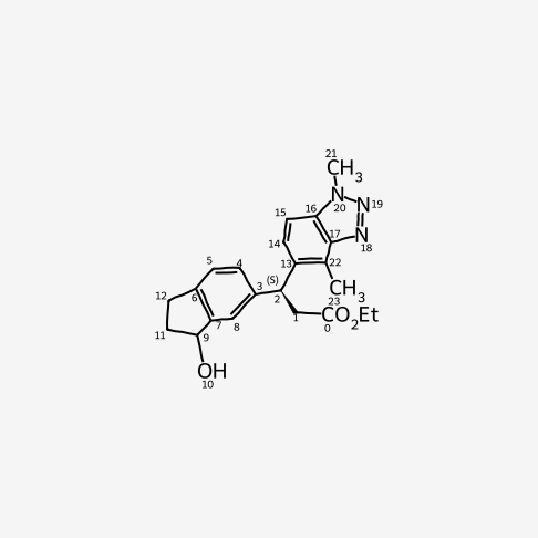 CCOC(=O)C[C@@H](c1ccc2c(c1)C(O)CC2)c1ccc2c(nnn2C)c1C